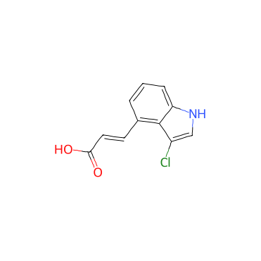 O=C(O)/C=C/c1cccc2[nH]cc(Cl)c12